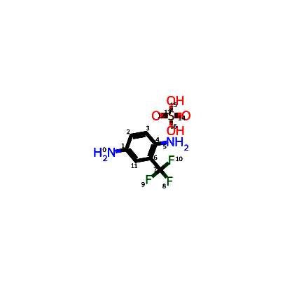 Nc1ccc(N)c(C(F)(F)F)c1.O=S(=O)(O)O